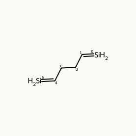 [SiH2]=CCCC=[SiH2]